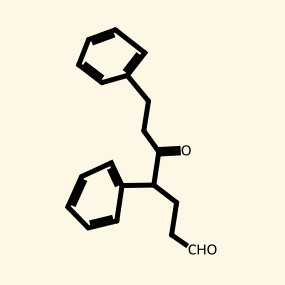 O=CCCC(C(=O)CCc1ccccc1)c1ccccc1